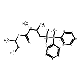 CCC(C)OC(=O)[C@H](C)C(C)CC(C)(C)[Si](O)(c1ccccc1)c1ccccc1